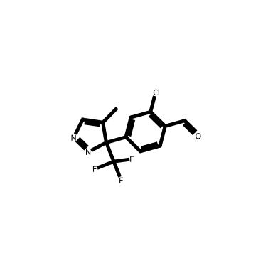 CC1=CN=NC1(c1ccc(C=O)c(Cl)c1)C(F)(F)F